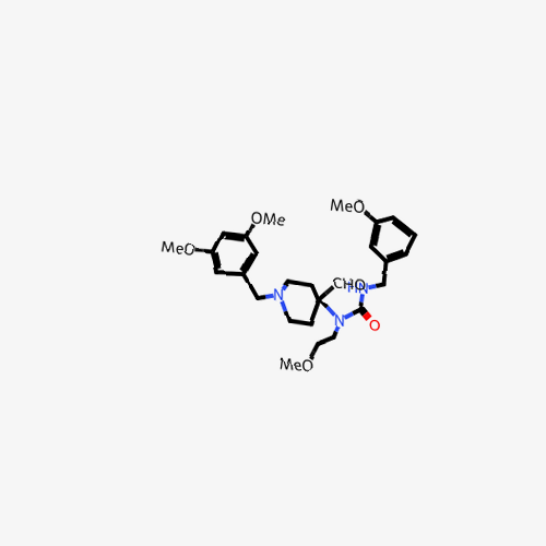 COCCN(C(=O)NCc1cccc(OC)c1)C1(C=O)CCN(Cc2cc(OC)cc(OC)c2)CC1